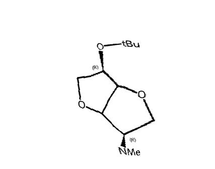 CN[C@@H]1COC2C1OC[C@H]2OC(C)(C)C